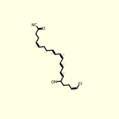 CC/C=C\CCC(/C=C/C=C/C=C\C=C\CC/C=C\CCC(=O)C#N)N=O